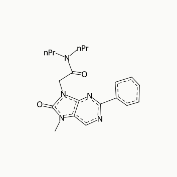 CCCN(CCC)C(=O)Cn1c(=O)n(C)c2cnc(-c3ccccc3)nc21